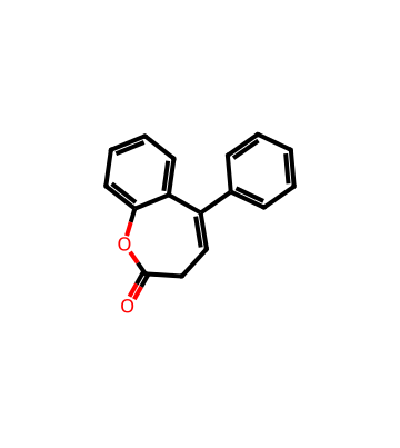 O=C1CC=C(c2ccccc2)c2ccccc2O1